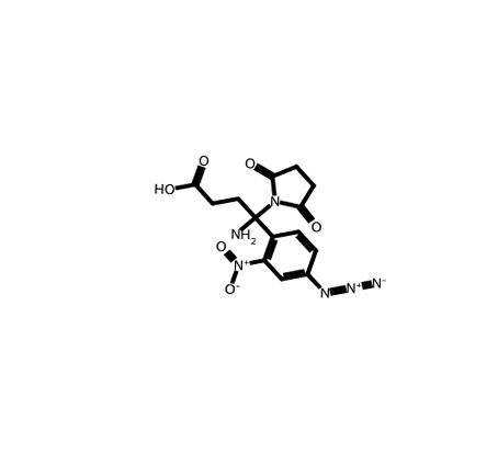 [N-]=[N+]=Nc1ccc(C(N)(CCC(=O)O)N2C(=O)CCC2=O)c([N+](=O)[O-])c1